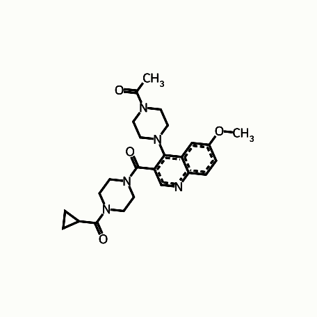 COc1ccc2ncc(C(=O)N3CCN(C(=O)C4CC4)CC3)c(N3CCN(C(C)=O)CC3)c2c1